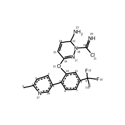 Cc1ccc(-c2ccc(C(F)(F)F)cc2OC2=NN(C(=N)Cl)C(N)C=C2)cn1